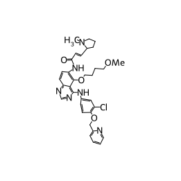 COCCCCOc1c(NC(=O)/C=C/C2CCCN2C)ccc2ncnc(Nc3ccc(OCc4ccccn4)c(Cl)c3)c12